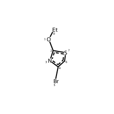 CCOc1nc(Br)cs1